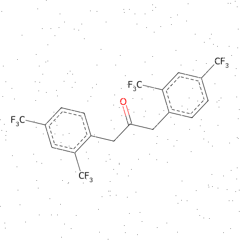 O=C(Cc1ccc(C(F)(F)F)cc1C(F)(F)F)Cc1ccc(C(F)(F)F)cc1C(F)(F)F